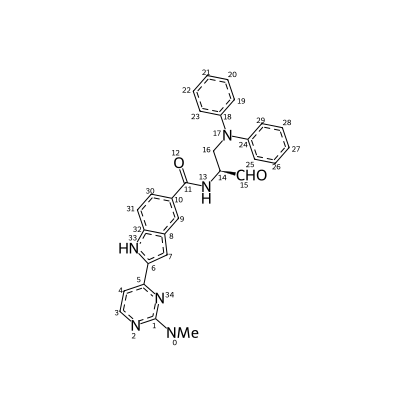 CNc1nccc(-c2cc3cc(C(=O)N[C@H](C=O)CN(c4ccccc4)c4ccccc4)ccc3[nH]2)n1